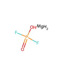 O=P(O)(F)F.[MgH2]